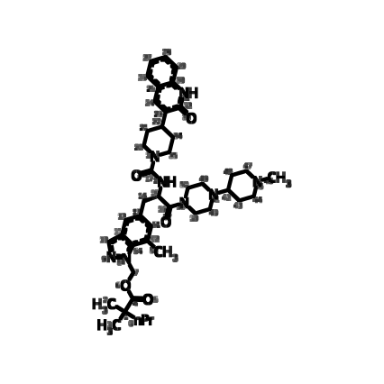 CCCC(C)(C)C(=O)OCn1ncc2cc(C[C@@H](NC(=O)N3CCC(c4cc5ccccc5[nH]c4=O)CC3)C(=O)N3CCN(C4CCN(C)CC4)CC3)cc(C)c21